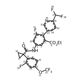 CCOC(=O)c1cc(NC(=O)C2(c3ccc(OC(F)(F)F)cc3F)CC2)cc(F)c1-c1ccc(C(F)F)nc1